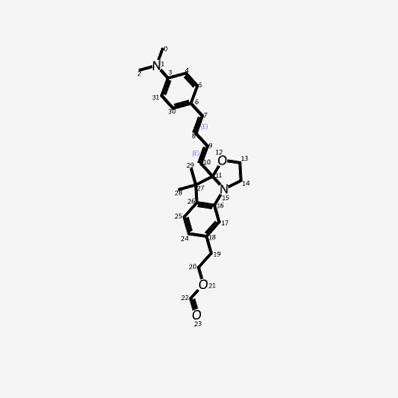 CN(C)c1ccc(/C=C/C=C/C23OCCN2c2cc(CCOC=O)ccc2C3(C)C)cc1